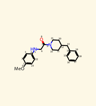 COc1ccc(NCC(=O)N2CCC(Cc3ccccc3)CC2)cc1